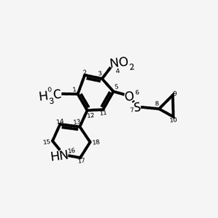 Cc1cc([N+](=O)[O-])c(OSC2CC2)cc1C1=CCNCC1